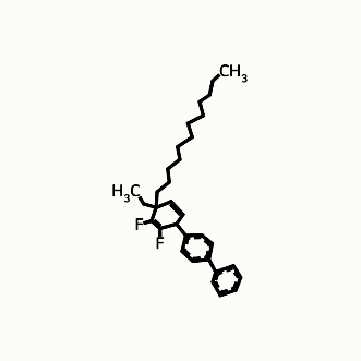 CCCCCCCCCCCCC1(CC)C=CC(c2ccc(-c3ccccc3)cc2)C(F)=C1F